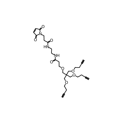 C#CCCOCC(COCCC#C)(COCCC#C)COCCC(=O)NCCNC(=O)CCN1C(=O)C=CC1=O